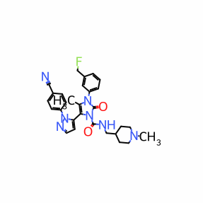 Cc1c(-c2ccnn2-c2ccc(C#N)cc2)n(C(=O)NCC2CCN(C)CC2)c(=O)n1-c1cccc(CF)c1